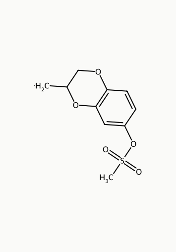 [CH2]C1COc2ccc(OS(C)(=O)=O)cc2O1